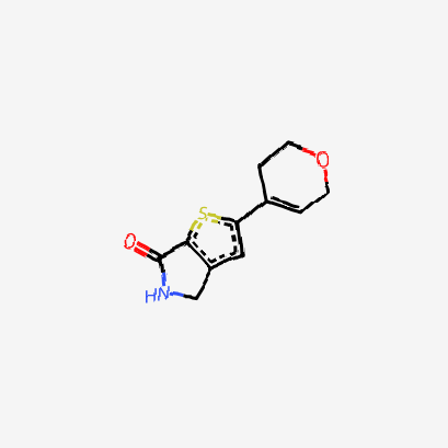 O=C1NCc2cc(C3=CCOCC3)sc21